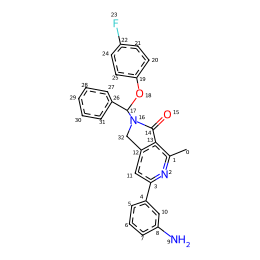 Cc1nc(-c2cccc(N)c2)cc2c1C(=O)N(C(Oc1ccc(F)cc1)c1ccccc1)C2